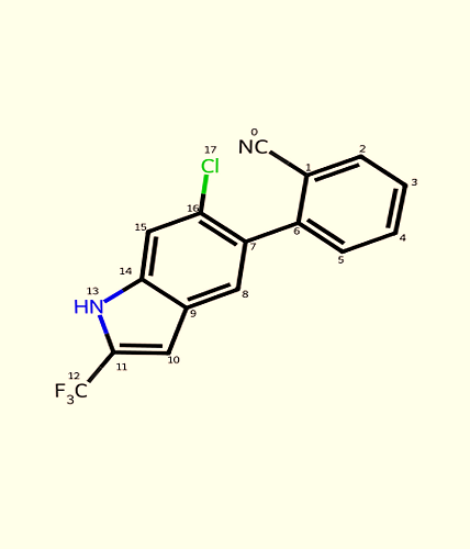 N#Cc1ccccc1-c1cc2cc(C(F)(F)F)[nH]c2cc1Cl